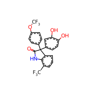 O=C1Nc2c(C(F)(F)F)cccc2C1(c1ccc(OC(F)(F)F)cc1)c1ccc(O)c(O)c1